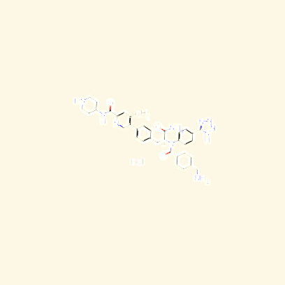 Cc1cc(C(=O)NC2CCNCC2)ncc1-c1ccc(C[C@@H](C(N)=O)N(c2ccc(-c3nnn[nH]3)cc2)C(=O)[C@H]2CC[C@H](CN)CC2)cc1.Cl